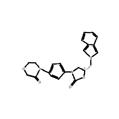 O=C1COCCN1c1ccc(N2C[C@H](Cn3cc4ccccc4c3)OC2=O)cc1